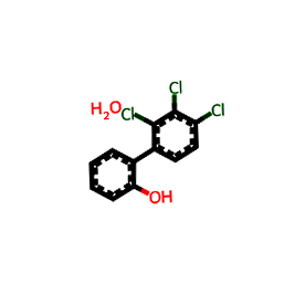 O.Oc1ccccc1-c1ccc(Cl)c(Cl)c1Cl